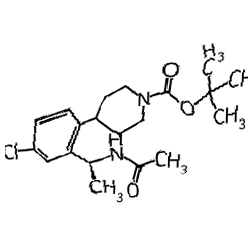 CC(=O)N[C@@H](C)c1cc(Cl)ccc1C1CCN(C(=O)OC(C)(C)C)CC1